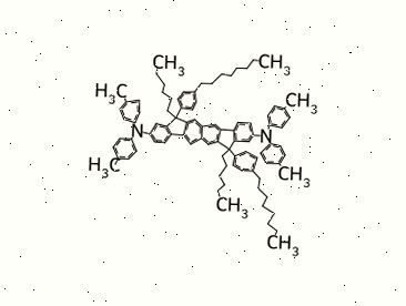 CCCCCCCCc1ccc(C2(CCCCCC)c3cc(N(c4ccc(C)cc4)c4ccc(C)cc4)ccc3-c3cc4cc5c(cc4cc32)-c2ccc(N(c3ccc(C)cc3)c3ccc(C)cc3)cc2C5(CCCCCC)c2ccc(CCCCCCCC)cc2)cc1